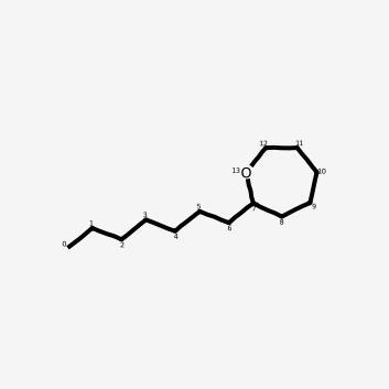 CCCCCCC[C]1CCCCCO1